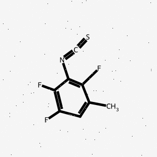 Cc1cc(F)c(F)c(N=C=S)c1F